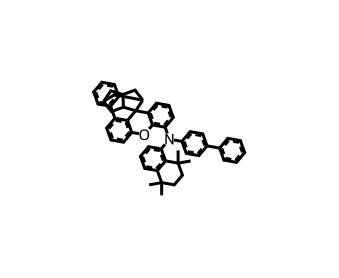 CC1(C)CCC(C)(C)c2c(N(c3ccc(-c4ccccc4)cc3)c3cccc4c3Oc3cccc(-c5ccccc5)c3C43C4CC5CC(C4)C3C5)cccc21